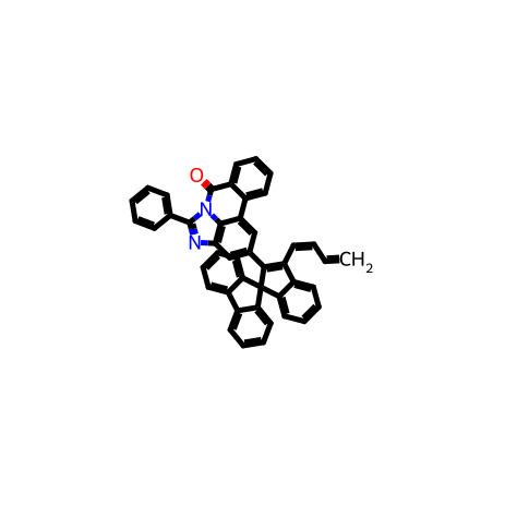 C=C/C=C\C1=C(c2cc3nc(-c4ccccc4)n4c(=O)c5ccccc5c(c2)c34)C2(c3ccccc31)c1ccccc1-c1ccccc12